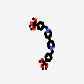 CO[Si](OC)(OC)c1ccc(C[n+]2ccc(-c3cc[n+](Cc4ccc([Si](OC)(OC)OC)cc4)cc3)cc2)cc1